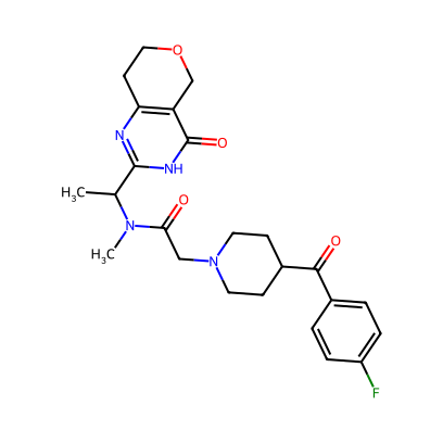 CC(c1nc2c(c(=O)[nH]1)COCC2)N(C)C(=O)CN1CCC(C(=O)c2ccc(F)cc2)CC1